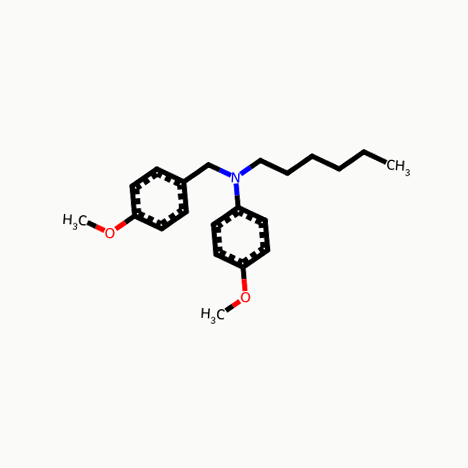 CCCCCCN(Cc1ccc(OC)cc1)c1ccc(OC)cc1